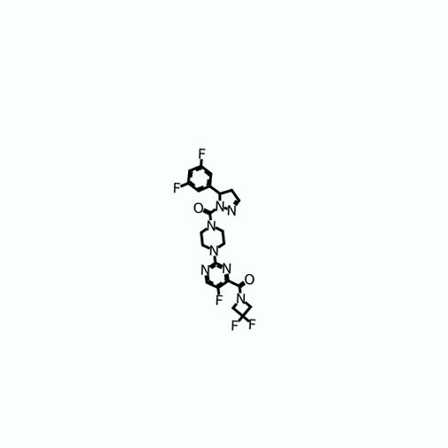 O=C(c1nc(N2CCN(C(=O)N3N=CCC3c3cc(F)cc(F)c3)CC2)ncc1F)N1CC(F)(F)C1